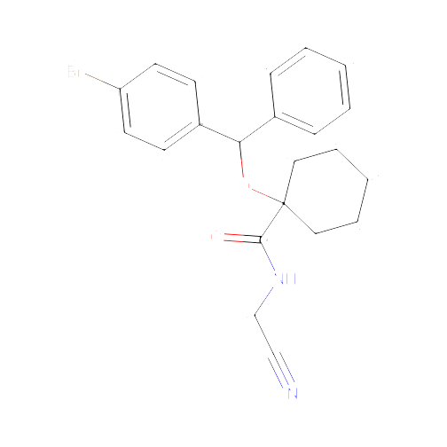 N#CCNC(=O)C1(OC(c2ccccc2)c2ccc(Br)cc2)CCCCC1